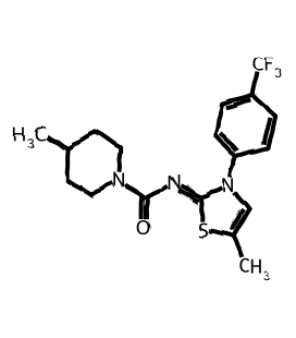 Cc1cn(-c2ccc(C(F)(F)F)cc2)/c(=N/C(=O)N2CCC(C)CC2)s1